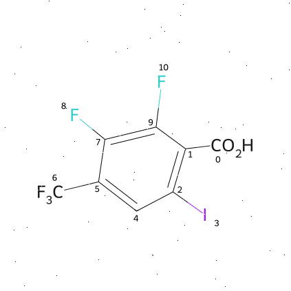 O=C(O)c1c(I)cc(C(F)(F)F)c(F)c1F